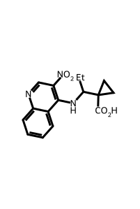 CCC(Nc1c([N+](=O)[O-])cnc2ccccc12)C1(C(=O)O)CC1